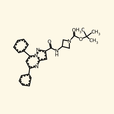 CC(C)(C)OC(=O)N1CC(NC(=O)c2cc3nc(-c4ccccc4)cc(-c4ccccc4)n3n2)C1